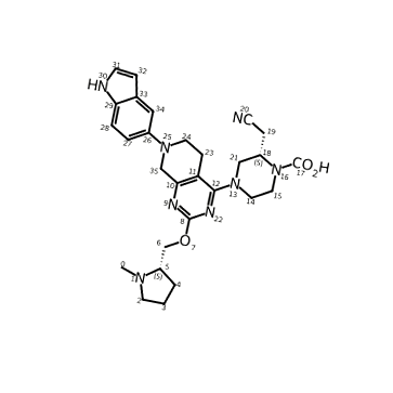 CN1CCC[C@H]1COc1nc2c(c(N3CCN(C(=O)O)[C@@H](CC#N)C3)n1)CCN(c1ccc3[nH]ccc3c1)C2